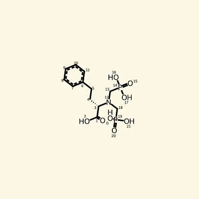 O=C(O)[C@H](CCc1ccccc1)N(CP(=O)(O)O)CP(=O)(O)O